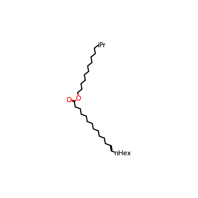 CCCCCCC=CCCCCCCCCCCCC(=O)OCCCCCCCCCCCC(C)C